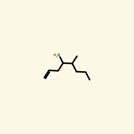 C=CCC(N)C(C)CCC